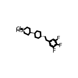 Fc1cc(CC[C@H]2CC[C@H](C3CC[SiH](Cl)CC3)CC2)cc(F)c1F